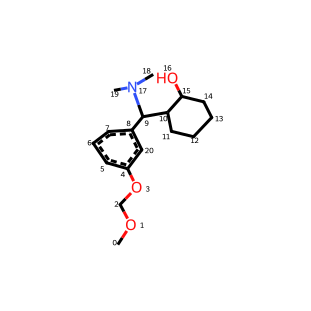 COCOc1cccc(C(C2CCCCC2O)N(C)C)c1